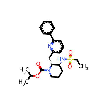 CCS(=O)(=O)N[C@@H]1CCCN(C(=O)OC(C)C)[C@@H]1Cc1cccc(-c2ccccc2)n1